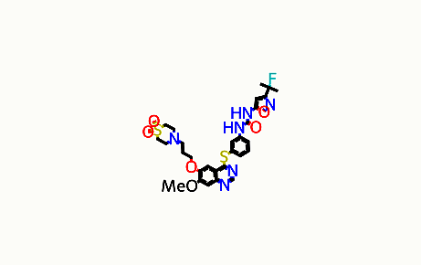 COc1cc2ncnc(Sc3cccc(NC(=O)Nc4cc(C(C)(C)F)no4)c3)c2cc1OCCCN1CCS(=O)(=O)CC1